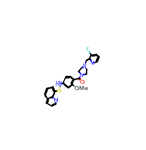 COc1cc(NSc2cccc3cccnc23)ccc1C(=O)N1CCN(Cc2ncccc2F)CC1